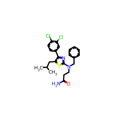 CC(C)Cc1sc(N(CCC(N)=O)Cc2ccccc2)nc1-c1ccc(Cl)c(Cl)c1